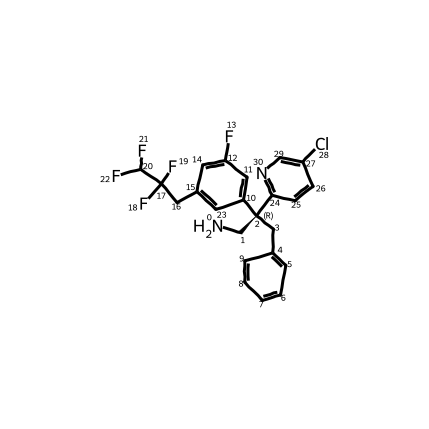 NC[C@@](Cc1ccccc1)(c1cc(F)cc(CC(F)(F)C(F)F)c1)c1ccc(Cl)cn1